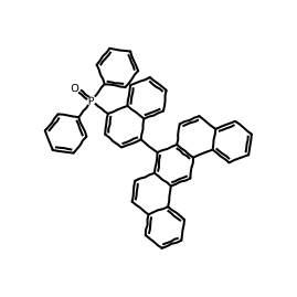 O=P(c1ccccc1)(c1ccccc1)c1ccc(-c2c3ccc4ccccc4c3cc3c2ccc2ccccc23)c2ccccc12